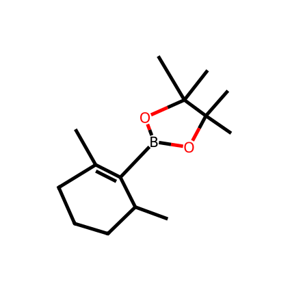 CC1=C(B2OC(C)(C)C(C)(C)O2)C(C)CCC1